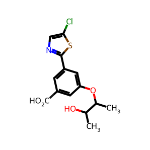 CC(O)C(C)Oc1cc(C(=O)O)cc(-c2ncc(Cl)s2)c1